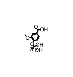 COc1cc(C(=O)O)ccc1OP(=O)(O)O